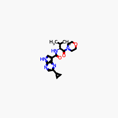 CC(C)[C@@H](NC(=O)c1c[nH]c2ncc(C3CC3)nc12)C(=O)N1CCOCC1